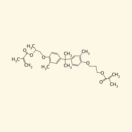 C=C(C)C(=O)OCCCOc1ccc(C(C)(C)c2ccc(OCC(C)OC(=O)C(=C)C)c(C)c2)cc1C